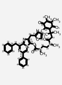 CC1=C(C)C(=O)C(C(C)(C)CC(=O)N(C)CCN(C)C(=O)Oc2c(Cc3ccco3)nc3c(Cc4ccccc4)nc(-c4ccccc4)cn23)=C(C)C1=O